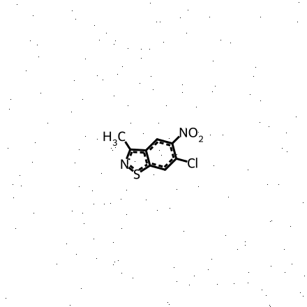 Cc1nsc2cc(Cl)c([N+](=O)[O-])cc12